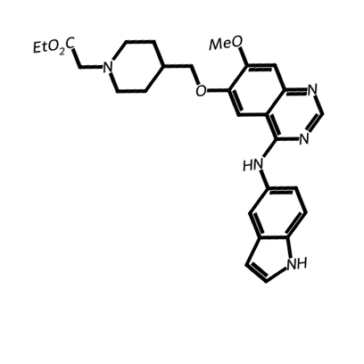 CCOC(=O)CN1CCC(COc2cc3c(Nc4ccc5[nH]ccc5c4)ncnc3cc2OC)CC1